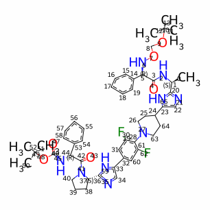 C[C@H](NC(=O)[C@H](NOCOC(C)(C)C)c1ccccc1)c1ncc(C2CCN(c3c(F)cc(-c4cnc([C@@H]5CCCN5C(=O)[C@H](NC(=O)OC(C)(C)C)c5ccccc5)[nH]4)cc3F)CC2)[nH]1